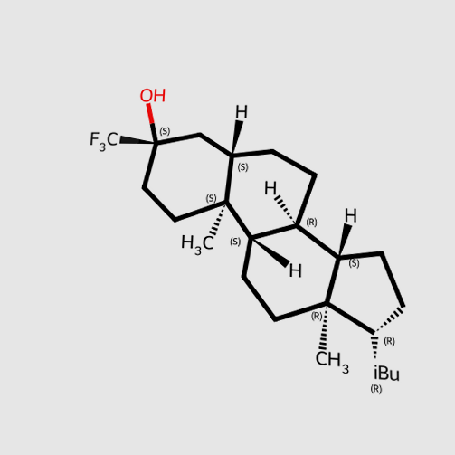 CC[C@@H](C)[C@H]1CC[C@H]2[C@@H]3CC[C@H]4C[C@](O)(C(F)(F)F)CC[C@]4(C)[C@H]3CC[C@]12C